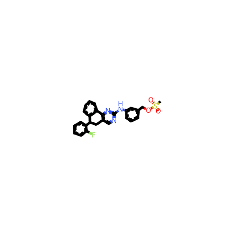 CS(=O)(=O)OCc1cccc(Nc2ncc3c(n2)-c2ccccc2C(c2ccccc2F)C3)c1